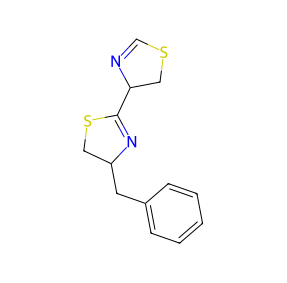 C1=NC(C2=NC(Cc3ccccc3)CS2)CS1